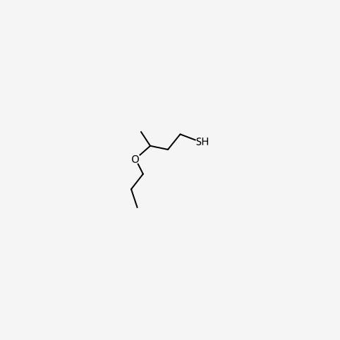 CCCOC(C)CCS